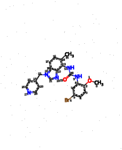 COc1ccc(Br)cc1NC(=O)Nc1c(C)ccc2c1ncn2Cc1ccncc1